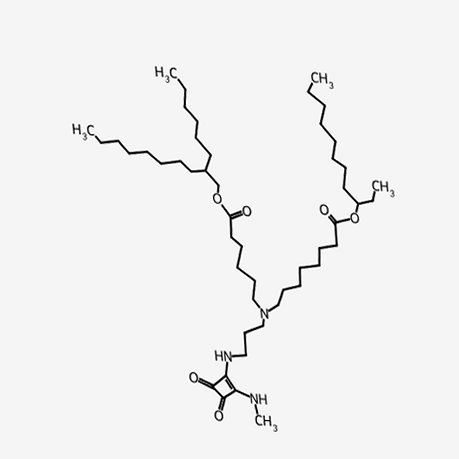 CCCCCCCCC(CCCCCC)COC(=O)CCCCCN(CCCCCCCC(=O)OC(CC)CCCCCCCC)CCCNc1c(NC)c(=O)c1=O